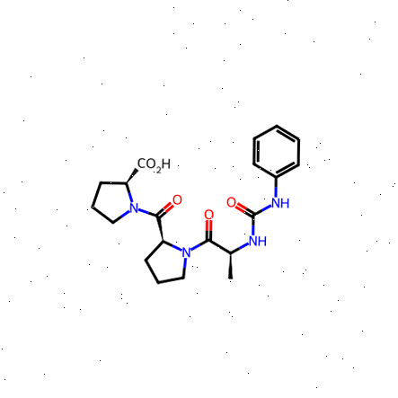 C[C@H](NC(=O)Nc1ccccc1)C(=O)N1CCC[C@H]1C(=O)N1CCC[C@H]1C(=O)O